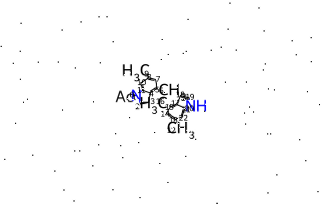 CC(=O)N1CCc2c(C)cc(C)cc21.Cc1cc(C)c2cc[nH]c2c1